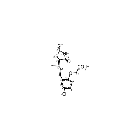 CC(/C=C/c1cc(Cl)ccc1OCC(=O)O)=C1\SC(=S)NC1=O